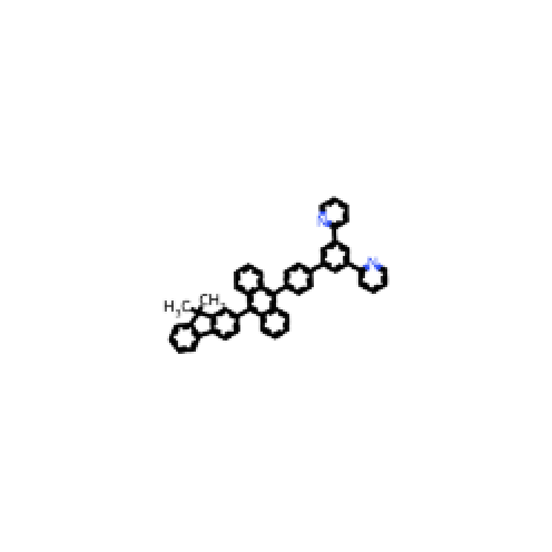 CC1(C)c2ccccc2-c2ccc(-c3c4ccccc4c(-c4ccc(-c5cc(-c6ccccn6)cc(-c6ccccn6)c5)cc4)c4ccccc34)cc21